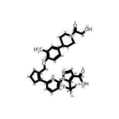 Cc1cc(C2CCN(C(=O)CO)CC2)ccc1OCC1=C(c2cccc(-n3ncc(C(=O)O)c3C(F)(F)F)n2)CCC1